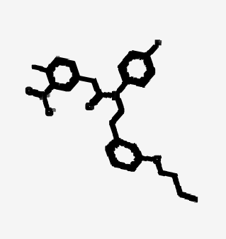 CCCCOc1cccc(CCN(C(=O)Cc2ccc(C)c([N+](=O)[O-])c2)c2ccc(F)cc2)c1